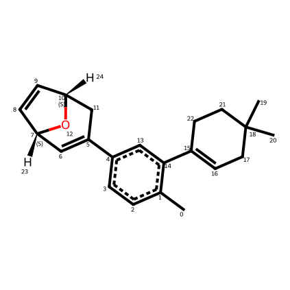 Cc1ccc(C2=C[C@@H]3C=C[C@H](C2)O3)cc1C1=CCC(C)(C)CC1